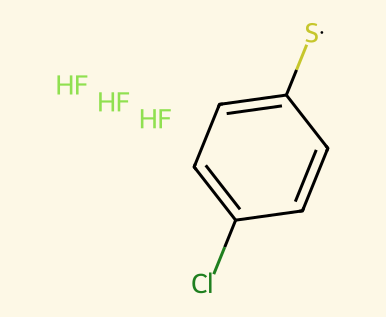 F.F.F.[S]c1ccc(Cl)cc1